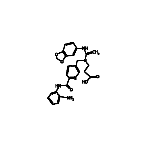 C=C(Nc1ccc2c(c1)OCO2)N(CCC(=O)O)Cc1ccc(C(=O)Nc2ccccc2N)nc1